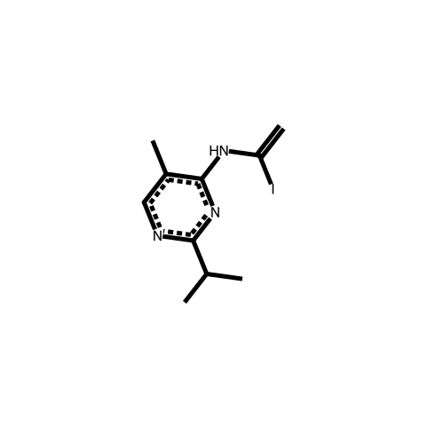 C=C(I)Nc1nc(C(C)C)ncc1C